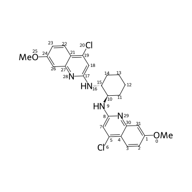 COc1ccc2c(Cl)cc(N[C@@H]3CCCC[C@H]3Nc3cc(Cl)c4ccc(OC)cc4n3)nc2c1